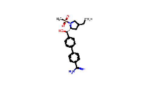 CS(=O)(=O)N1C[C@@H](CC(=O)O)C[C@@H]1C(O)c1ccc(-c2ccc(C(=N)N)cc2)cc1